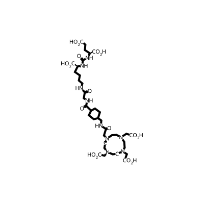 O=C(O)CC[C@H](NC(=O)N[C@@H](CCCCNC(=O)CNC(=O)C1CCC(CNC(=O)CN2CCN(CC(=O)O)CCN(CC(=O)O)CCN(CC(=O)O)CC2)CC1)C(=O)O)C(=O)O